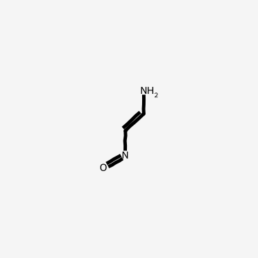 N/C=C/N=O